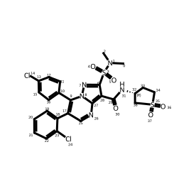 CN(C)S(=O)(=O)c1nn2c(-c3ccc(Cl)cc3)c(-c3ccccc3Cl)cnc2c1C(=O)N[C@@H]1CCS(=O)(=O)C1